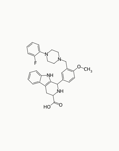 COc1ccc(C2NC(C(=O)O)Cc3c2[nH]c2ccccc32)cc1CN1CCN(c2ccccc2F)CC1